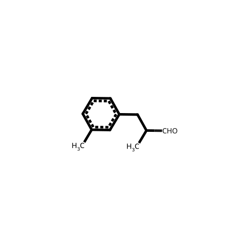 Cc1cccc(CC(C)C=O)c1